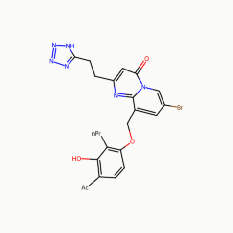 CCCc1c(OCc2cc(Br)cn3c(=O)cc(CCc4nnn[nH]4)nc23)ccc(C(C)=O)c1O